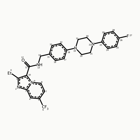 CCc1nc2cc(C(F)(F)F)ccn2c1C(=O)NCc1ccc(N2CCN(c3ccc(F)cc3)CC2)cc1